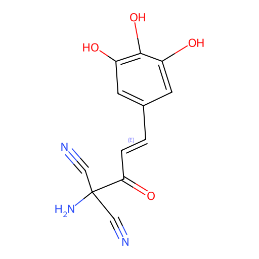 N#CC(N)(C#N)C(=O)/C=C/c1cc(O)c(O)c(O)c1